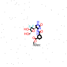 CCCCCCCCCCCOC(=O)c1cccc(C(=O)Nc2nc(=O)[nH]cc2[C@H]2O[C@H](CO)[C@@H](O)C2(F)F)c1